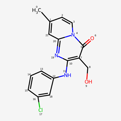 Cc1ccn2c(=O)c(CO)c(Nc3cccc(Cl)c3)nc2c1